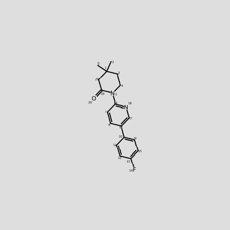 CC1(C)CCN(c2ccc(-c3ccc(F)cc3)cn2)C(=O)C1